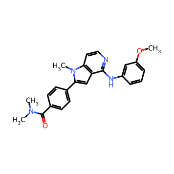 COc1cccc(Nc2nccc3c2cc(-c2ccc(C(=O)N(C)C)cc2)n3C)c1